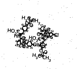 CN(C)C(=O)Oc1ccc(C[C@H](NC(=O)[C@@H]2CCCN2S(=O)(=O)c2cc(Cl)sc2Cl)C(=O)O)cc1.COc1ccc(S(=O)(=O)N2CCC[C@H]2C(=O)N[C@@H](Cc2ccc(OC(=O)N(C)C)cc2)C(=O)O)cc1